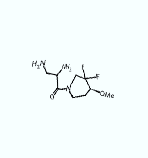 CO[C@H]1CCN(C(=O)C(N)CN)CC1(F)F